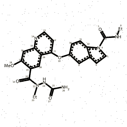 CCNC(=O)n1ccc2cc(Oc3ccnc4cc(OC)c(C(=O)N(CC)NC(N)=O)cc34)ccc21